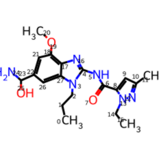 CCCn1c(NC(=O)c2cc(C)nn2CC)nc2c(OC)cc(C(N)O)cc21